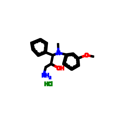 COc1cccc(N(C)C(c2ccccc2)C(O)CN)c1.Cl